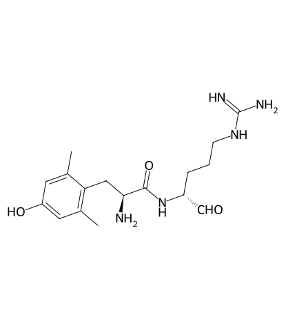 Cc1cc(O)cc(C)c1C[C@H](N)C(=O)N[C@@H](C=O)CCCNC(=N)N